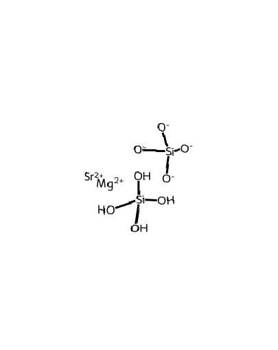 O[Si](O)(O)O.[Mg+2].[O-][Si]([O-])([O-])[O-].[Sr+2]